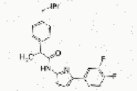 CC(C)Cc1ccc(C(C)C(=O)Nc2nc(-c3ccc(F)c(F)c3)cs2)cc1